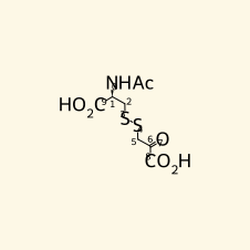 CC(=O)N[C@@H](CSSCC(=O)C(=O)O)C(=O)O